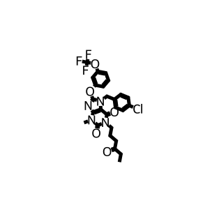 CCC(=O)CCCn1c(=O)c2c(nc(Oc3cccc(OC(F)(F)F)c3)n2Cc2ccc(Cl)cc2)n(C)c1=O